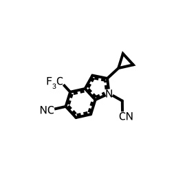 N#CCn1c(C2CC2)cc2c(C(F)(F)F)c(C#N)ccc21